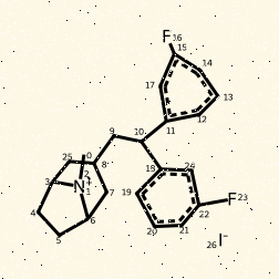 C[N+]1(C)C2CCC1CC(CC(c1cccc(F)c1)c1cccc(F)c1)C2.[I-]